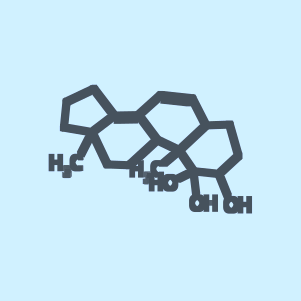 CC12CCCC1=C1C=CC3CCC(O)C(O)(O)C3(C)C1CC2